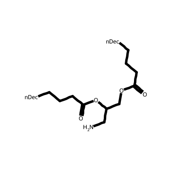 CCCCCCCCCCCCCC(=O)OCC(CN)OC(=O)CCCCCCCCCCCCC